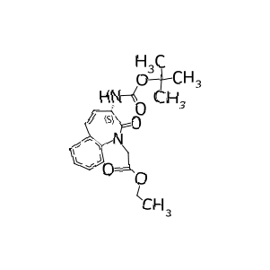 CCOC(=O)CN1C(=O)[C@@H](NC(=O)OC(C)(C)C)C=Cc2ccccc21